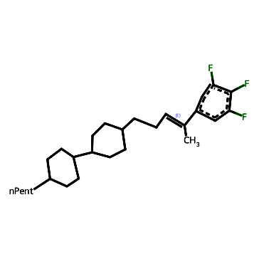 CCCCCC1CCC(C2CCC(CC/C=C(\C)c3cc(F)c(F)c(F)c3)CC2)CC1